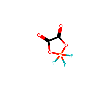 O=C1OP(F)(F)(F)OC1=O